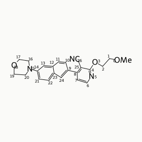 COCCOc1nccc(-c2ccc3cc(N4CCOCC4)ccc3c2)c1C#N